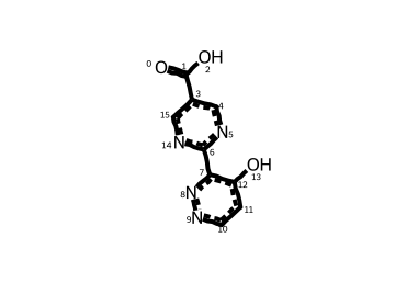 O=C(O)c1cnc(-c2nnccc2O)nc1